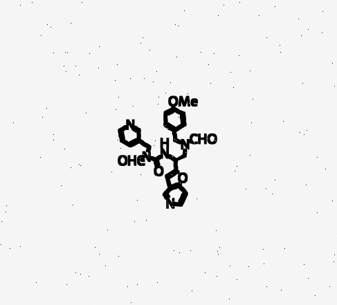 COc1ccc(CN(C=O)C[C@H](NC(=O)N(C=O)Cc2cccnc2)c2cc3cnccc3o2)cc1